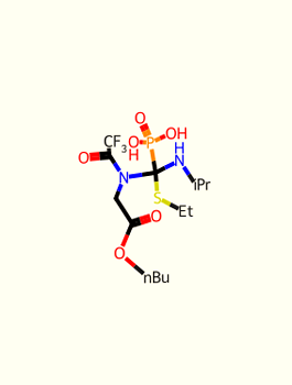 CCCCOC(=O)CN(C(=O)C(F)(F)F)C(NC(C)C)(SCC)P(=O)(O)O